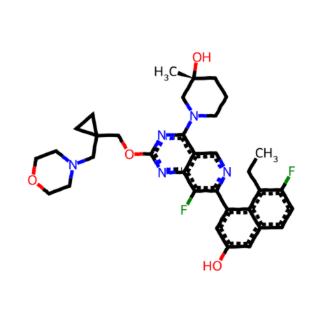 CCc1c(F)ccc2cc(O)cc(-c3ncc4c(N5CCC[C@@](C)(O)C5)nc(OCC5(CN6CCOCC6)CC5)nc4c3F)c12